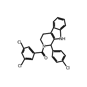 O=C(c1cc(Cl)cc(Cl)c1)N1CCc2c([nH]c3ccccc23)C1c1ccc(Cl)cc1